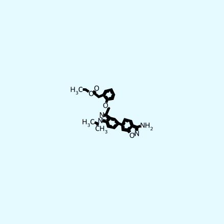 CCOC(=O)Cc1ccccc1OCc1nn(C(C)C)c2ccc(-c3ccc4c(N)noc4c3)cc12